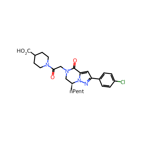 CCCCC[C@H]1CN(CC(=O)N2CCC(C(=O)O)CC2)C(=O)c2cc(-c3ccc(Cl)cc3)nn21